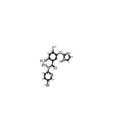 CC(C)N(C(=O)c1cc(Sc2nccn2C)c(F)cc1N)c1ccc(Br)cn1